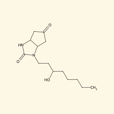 CCCCCC(O)CCN1C(=O)NC2CC(=O)CC21